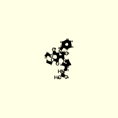 CCOC(=O)C1=C(n2ccc(CNC(=O)O)c2)C(=O)N(Cc2ccccc2)C1C(=O)OCC